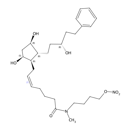 CN(CCCCO[N+](=O)[O-])C(=O)CCC/C=C\C[C@@H]1[C@@H](CC[C@@H](O)CCc2ccccc2)[C@H](O)C[C@@H]1O